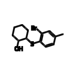 Cc1ccc(SC2CCCCC2O)c(Br)c1